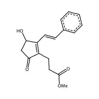 COC(=O)CCC1=C(C=Cc2ccccc2)C(O)CC1=O